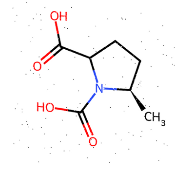 C[C@@H]1CCC(C(=O)O)N1C(=O)O